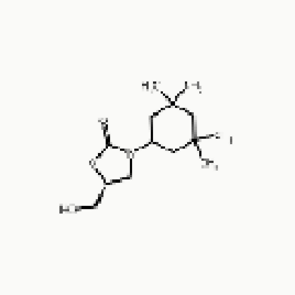 CC1(C)CC(N2C[C@@H](CO)OC2=O)CC(C)(C)C1